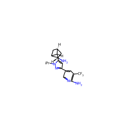 CC(C)n1nc(-c2cnc(N)c(C(F)(F)F)c2)cc1[C@@H]1C2C[C@H]1C[C@@H]2N